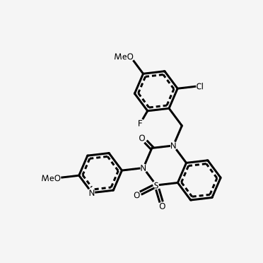 COc1cc(F)c(CN2C(=O)N(c3ccc(OC)nc3)S(=O)(=O)c3ccccc32)c(Cl)c1